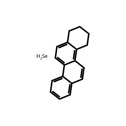 [SeH2].c1ccc2c(c1)ccc1c3c(ccc12)CCCC3